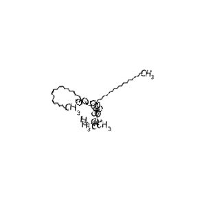 CCCCC/C=C\C/C=C\C/C=C\CCCCCCC(=O)OC[C@H](COP(=O)([O-])OCC[N+](C)(C)C)OC(=O)CCCCCCCCCCCCCCCCCC